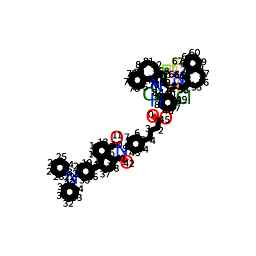 O=C(CCCc1ccc(N2C(=O)c3cccc4c(-c5ccc(N(c6ccccc6)c6ccccc6)cc5)ccc(c34)C2=O)cc1)Oc1cc(Cl)c(/C(=C2\C=C3CCCc4ccccc4C3=[N+]2[BH-](F)F)c2cc3c([nH]2)-c2ccccc2CCC3)c(Cl)c1